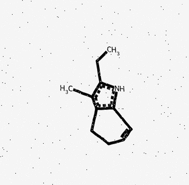 CCc1[nH]c2c(c1C)CCC=C2